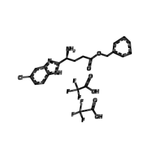 N[C@@H](CCC(=O)OCc1ccccc1)c1nc2cc(Cl)ccc2[nH]1.O=C(O)C(F)(F)F.O=C(O)C(F)(F)F